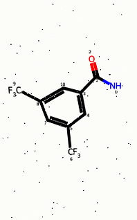 [NH]C(=O)c1cc(C(F)(F)F)cc(C(F)(F)F)c1